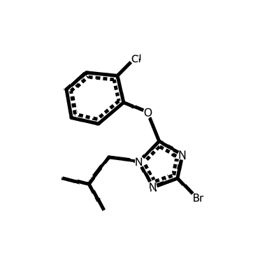 CC(C)Cn1nc(Br)nc1Oc1ccccc1Cl